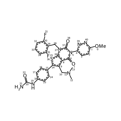 COc1ccc(-n2c(=O)c3c(CN(C)C)c(-c4ccc(NC(N)=O)cc4)sc3n(Cc3c(F)cccc3F)c2=O)nn1